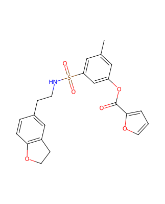 Cc1cc(OC(=O)c2ccco2)cc(S(=O)(=O)NCCc2ccc3c(c2)CCO3)c1